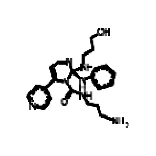 NCCCNC(=O)N1C(c2ccncc2)=CC=NC1(NCCCO)Nc1ccccc1